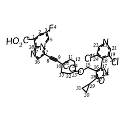 O=C(O)c1cc(F)cn2c(C#CC34CCC(OCc5c(-c6c(Cl)cncc6Cl)noc5C5CC5)(CC3)CC4)cnc12